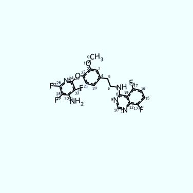 COc1cc(CCNc2ncnc3c(F)ccc(F)c23)ccc1Oc1nc(F)c(F)c(N)c1F